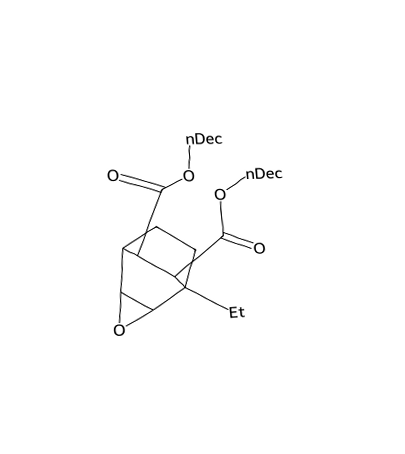 CCCCCCCCCCOC(=O)C1C2CCC(CC)(C3OC23)C1C(=O)OCCCCCCCCCC